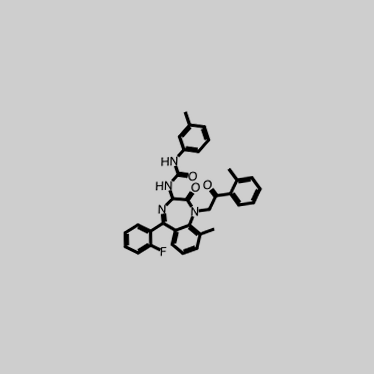 Cc1cccc(NC(=O)NC2N=C(c3ccccc3F)c3cccc(C)c3N(CC(=O)c3ccccc3C)C2=O)c1